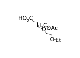 CCOCCOCCCC(=O)O.COC(C)=O